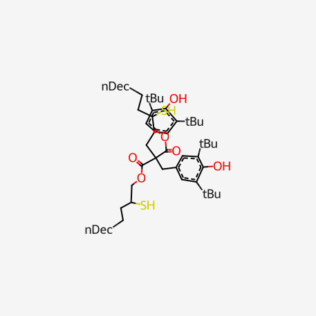 CCCCCCCCCCCCC(S)COC(=O)C(Cc1cc(C(C)(C)C)c(O)c(C(C)(C)C)c1)(Cc1cc(C(C)(C)C)c(O)c(C(C)(C)C)c1)C(=O)OCC(S)CCCCCCCCCCCC